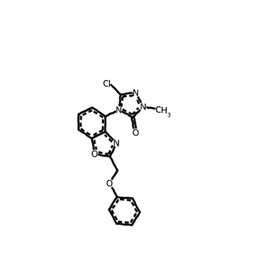 Cn1nc(Cl)n(-c2cccc3oc(COc4ccccc4)nc23)c1=O